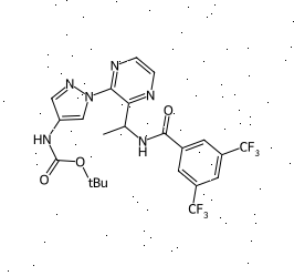 CC(NC(=O)c1cc(C(F)(F)F)cc(C(F)(F)F)c1)c1nccnc1-n1cc(NC(=O)OC(C)(C)C)cn1